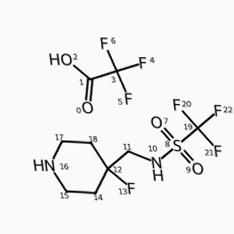 O=C(O)C(F)(F)F.O=S(=O)(NCC1(F)CCNCC1)C(F)(F)F